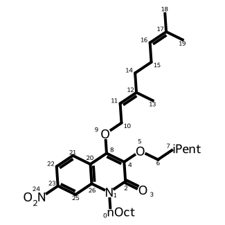 CCCCCCCCn1c(=O)c(OCC(C)CCC)c(OC/C=C(\C)CCC=C(C)C)c2ccc([N+](=O)[O-])cc21